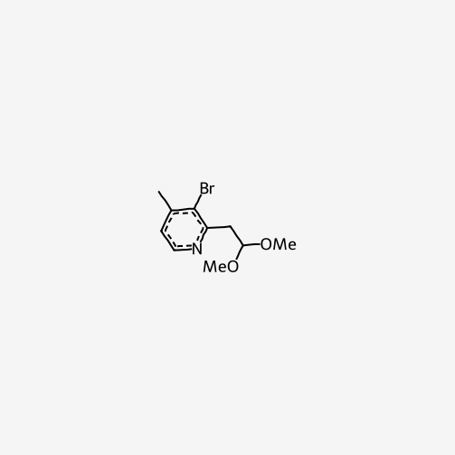 COC(Cc1nccc(C)c1Br)OC